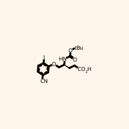 CC(C)(C)OC(=O)N[C@@H](CCC(=O)O)COc1cc(C#N)ccc1I